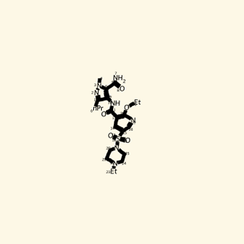 CCCc1nn(C)c(C(N)=O)c1NC(=O)c1cc(S(=O)(=O)N2CCN(CC)CC2)cnc1OCC